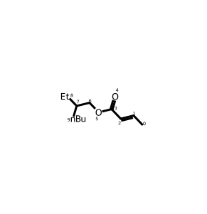 CC=CC(=O)OCC(CC)CCCC